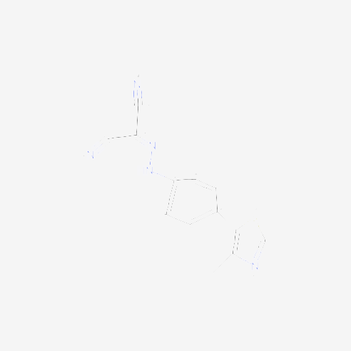 Cc1ncsc1-c1ccc(NN=C(C#N)C#N)cc1